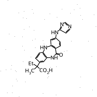 CCC(C)(C(=O)O)c1ccc2c(c1)NC(=O)c1ccc(Nc3ccncn3)cc1N2